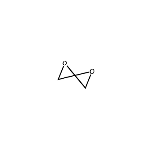 C1OC12CO2